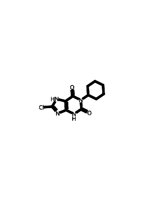 O=c1[nH]c2nc(Cl)[nH]c2c(=O)n1C1CCCCC1